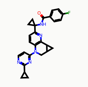 O=C(NC1(c2ccc3c(n2)C2CC2CN3c2ccnc(C3CC3)n2)CC1)c1ccc(F)cc1